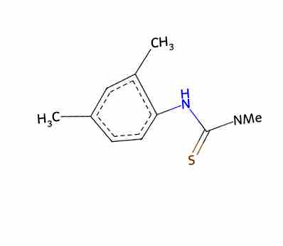 CNC(=S)Nc1ccc(C)cc1C